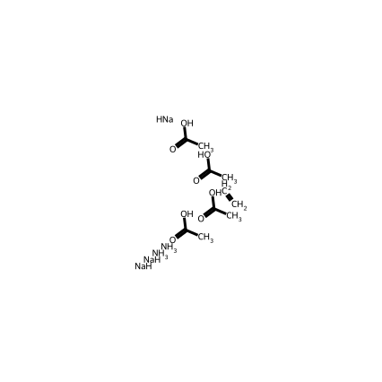 C=C.CC(=O)O.CC(=O)O.CC(=O)O.CC(=O)O.N.N.[NaH].[NaH].[NaH]